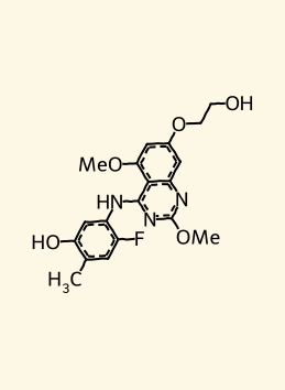 COc1nc(Nc2cc(O)c(C)cc2F)c2c(OC)cc(OCCO)cc2n1